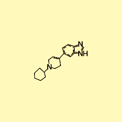 C1=C(c2ccc3nc[nH]c3c2)CCN(C2CCCCC2)C1